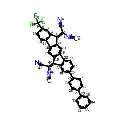 [C-]#[N+]/C(C#N)=C1/c2cc(C(F)(F)F)ccc2-c2cc3c(cc21)-c1ccc(-c2ccc(-c4ccccc4)cc2)cc1/C3=C(/C#N)[N+]#[C-]